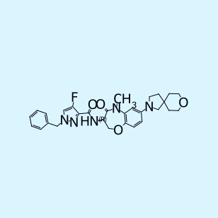 CN1C(=O)[C@H](NC(=O)c2nn(Cc3ccccc3)cc2F)COc2ccc(N3CCC4(CCOCC4)C3)cc21